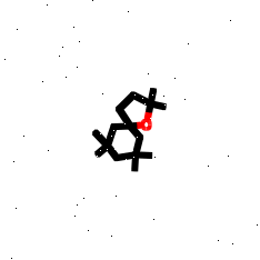 CC1(C)CC(C)(C)CC2(CCC(C)(C)O2)C1